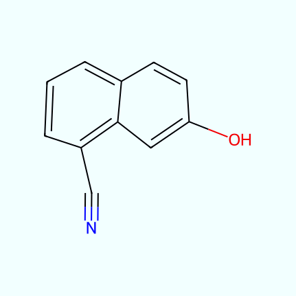 N#Cc1cccc2ccc(O)cc12